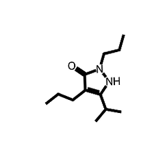 CCCc1c(C(C)C)[nH]n(CCC)c1=O